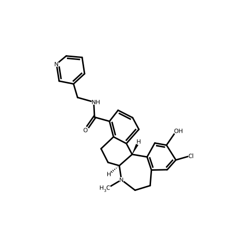 CN1CCc2cc(Cl)c(O)cc2[C@H]2c3cccc(C(=O)NCc4cccnc4)c3CC[C@@H]21